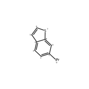 CC(C)c1ccc2[c]csc2c1